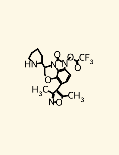 Cc1noc(C)c1-c1ccc2c3c1OCC(C1CCCCN1)n3c(=O)n2OC(=O)C(F)(F)F